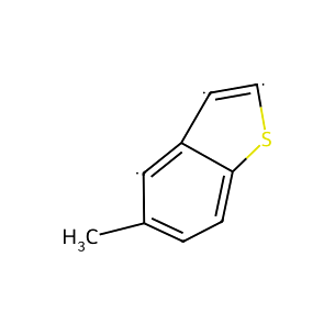 Cc1[c]c2[c][c]sc2cc1